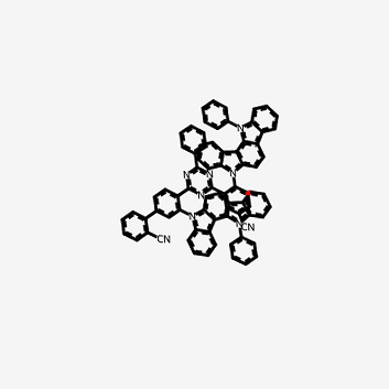 N#Cc1ccc(-n2c3ccccc3c3c2ccc2c4ccccc4n(-c4ccccc4)c23)c(-c2nc(-c3ccccc3)nc(-c3ccc(-c4ccccc4C#N)cc3-n3c4ccccc4c4c3ccc3c5ccccc5n(-c5ccccc5)c34)n2)c1